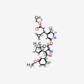 CCOC(=O)CC(c1cc(OCc2noc(-c3cc(OC)ccc3F)c2C2=CCCC2(C)C)ncc1Cl)C1CC1